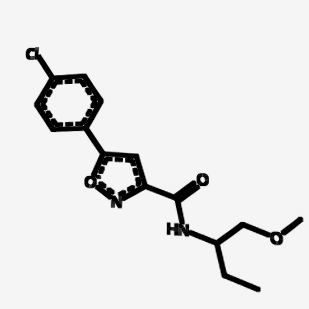 CCC(COC)NC(=O)c1cc(-c2ccc(Cl)cc2)on1